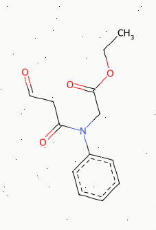 CCOC(=O)CN(C(=O)CC=O)c1ccccc1